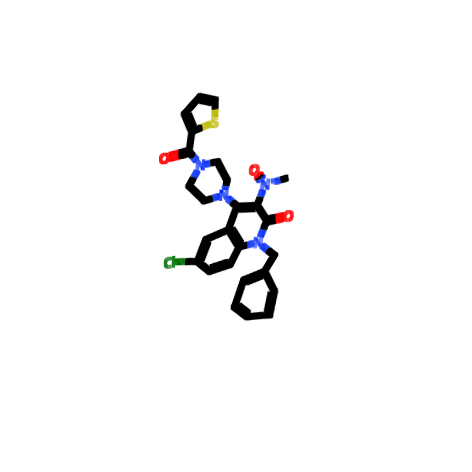 C[N+](=O)c1c(N2CCN(C(=O)c3cccs3)CC2)c2cc(Cl)ccc2n(Cc2ccccc2)c1=O